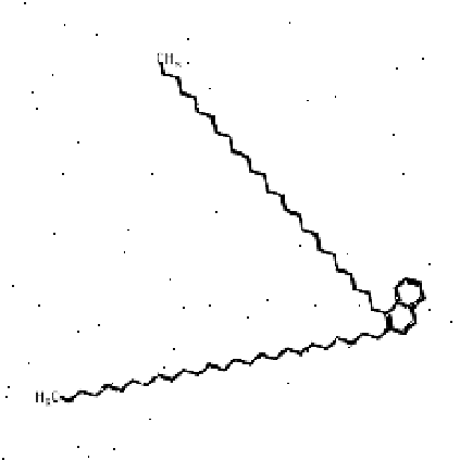 CCCCCCCCCCCCCCCCCCCCCCCCCCc1ccc2ccccc2c1CCCCCCCCCCCCCCCCCCCCCCCCCC